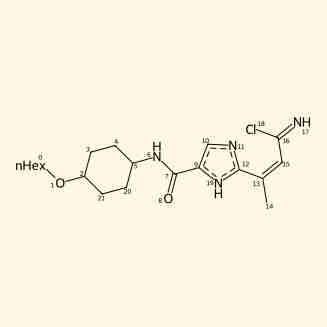 CCCCCCOC1CCC(NC(=O)c2cnc(/C(C)=C\C(=N)Cl)[nH]2)CC1